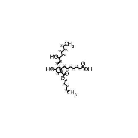 CCCCCOC(=O)C1=C(CCCCCCC(=O)O)[C@@H](/C=C/[C@@H](O)CCCCC)[C@H](O)C1